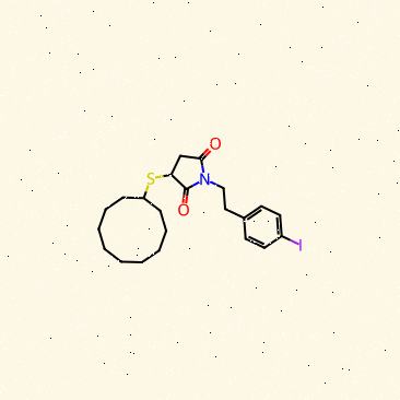 O=C1CC(SC2CCCCCCCCC2)C(=O)N1CCc1ccc(I)cc1